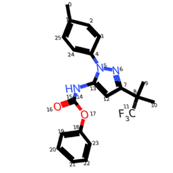 Cc1ccc(-n2nc(C(C)(C)C(F)(F)F)cc2NC(=O)Oc2ccccc2)cc1